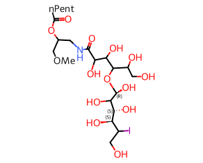 CCCCCC(=O)OC(CNC(=O)C(O)C(O)C(O[C@@H](O)C(O)[C@H](O)[C@H](O)C(I)CO)C(O)CO)COC